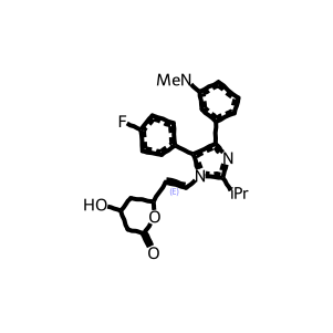 CNc1cccc(-c2nc(C(C)C)n(/C=C/C3CC(O)CC(=O)O3)c2-c2ccc(F)cc2)c1